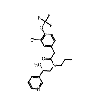 CCCN(C[C@@H](O)c1cccnc1)C(=O)Cc1ccc(OC(F)(F)F)c(Cl)c1